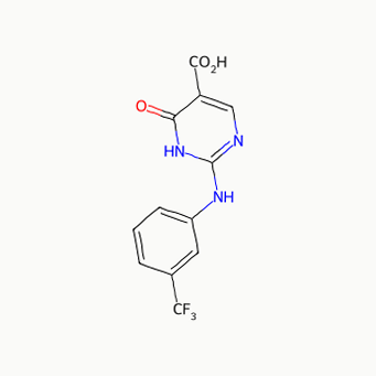 O=C(O)c1cnc(Nc2cccc(C(F)(F)F)c2)[nH]c1=O